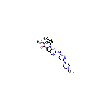 C[C@@H]1C2CC1(n1c(C(=O)N(C)C)cc3cnc(Nc4ccc(N5CCN(C)CC5)nc4)nc31)C2